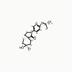 CC[C@]1(O)CC[C@@]2(CCN(c3ccc(O[C@@H](C)C(F)(F)F)nc3)C2=O)CC1